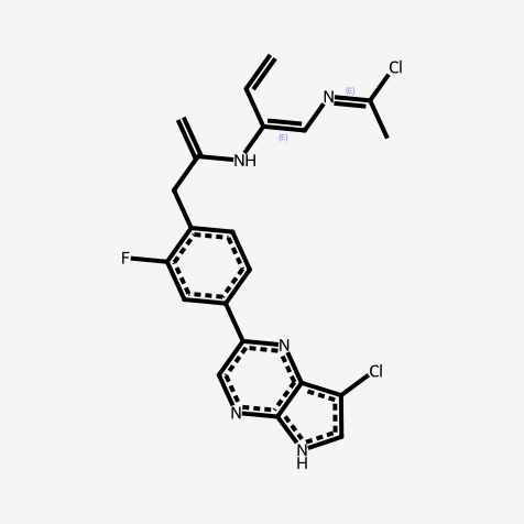 C=C/C(=C\N=C(/C)Cl)NC(=C)Cc1ccc(-c2cnc3[nH]cc(Cl)c3n2)cc1F